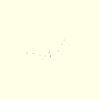 Cc1[nH]c(NC(=O)NCC2(C)CC(N)CC(C)(C)C2)nc(=O)c1C(C)OC(=O)NCC1(C)CC(N)CC(C)(C)C1